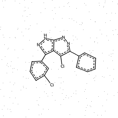 Clc1cccc(-c2n[nH]c3nnc(-c4ccccc4)c(Cl)c23)c1